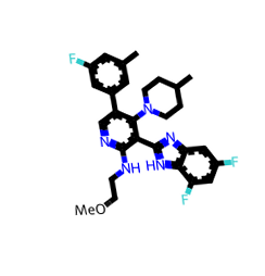 COCCNc1ncc(-c2cc(C)cc(F)c2)c(N2CCC(C)CC2)c1-c1nc2cc(F)cc(F)c2[nH]1